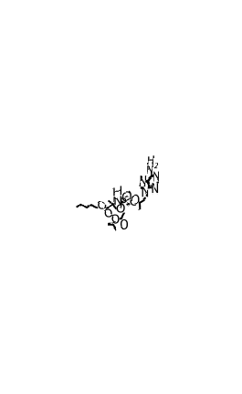 CCCCCOC(=O)C(C)(C)NP(=O)(COC(C)Cn1cnc2c(N)ncnc21)OCC(=O)OC(C)C